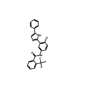 O=C(Nc1ccc(Cl)c(-c2ncc(-c3ccccc3)[nH]2)c1)c1ccccc1C(F)(F)F